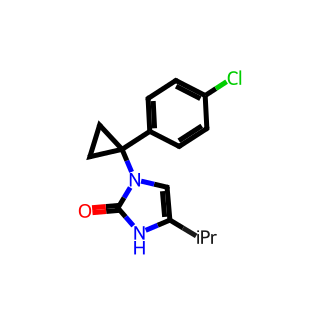 CC(C)c1cn(C2(c3ccc(Cl)cc3)CC2)c(=O)[nH]1